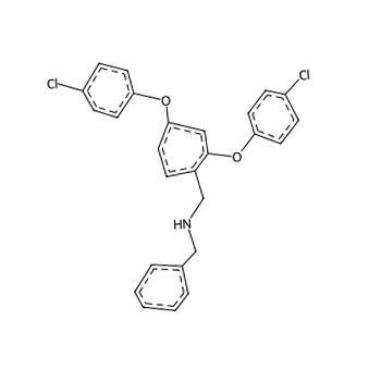 Clc1ccc(Oc2ccc(CNCc3ccccc3)c(Oc3ccc(Cl)cc3)c2)cc1